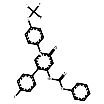 O=C(Nc1cc(=O)n(-c2ccc(OC(F)(F)F)cc2)cc1-c1ccc(F)cc1)Oc1ccccc1